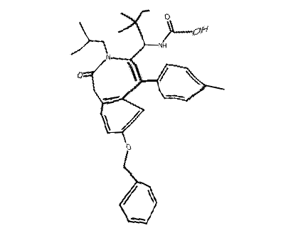 Cc1ccc(-c2c(C(NC(=O)O)C(C)(C)C)n(CC(C)C)c(=O)c3ccc(OCc4ccccc4)cc23)cc1